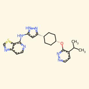 CC(C)c1ccnnc1O[C@H]1CC[C@@H](c2cc(Nc3nccc4ncsc34)[nH]n2)CC1